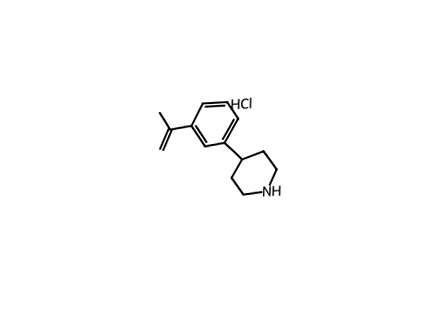 C=C(C)c1cccc(C2CCNCC2)c1.Cl